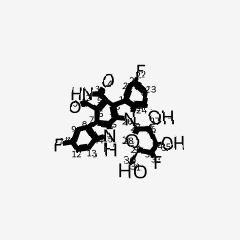 O=C1NC(=O)c2c1c1c3cc(F)ccc3[nH]c1c1c2c2cc(F)ccc2n1[C@@H]1O[C@H](CO)C(F)[C@H](O)[C@H]1O